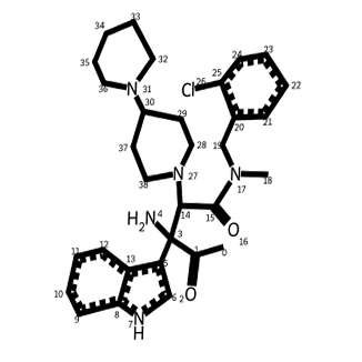 CC(=O)C(N)(c1c[nH]c2ccccc12)C(C(=O)N(C)Cc1ccccc1Cl)N1CCC(N2CCCCC2)CC1